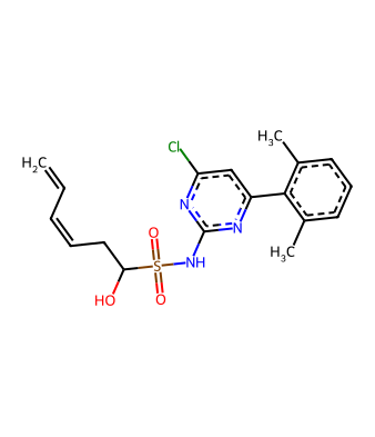 C=C/C=C\CC(O)S(=O)(=O)Nc1nc(Cl)cc(-c2c(C)cccc2C)n1